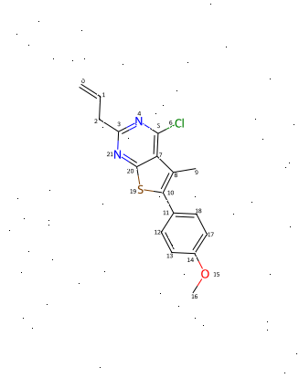 C=CCc1nc(Cl)c2c(C)c(-c3ccc(OC)cc3)sc2n1